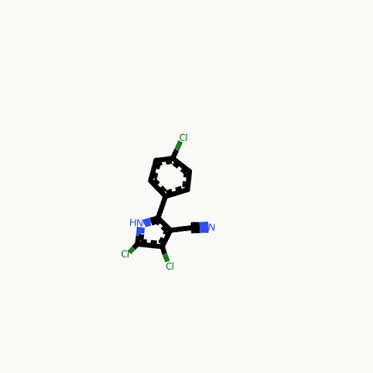 N#Cc1c(-c2ccc(Cl)cc2)[nH]c(Cl)c1Cl